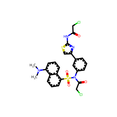 CN(C)c1cccc2c(S(=O)(=O)N(C(=O)CCl)c3cccc(-c4csc(NC(=O)CCl)n4)c3)cccc12